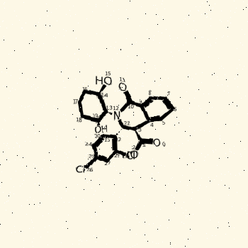 O=C(O)[C@@H]1c2ccccc2C(=O)N([C@H]2[C@H](O)CCC[C@@H]2O)[C@H]1c1ccc(Cl)cc1Cl